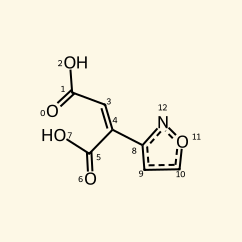 O=C(O)C=C(C(=O)O)c1ccon1